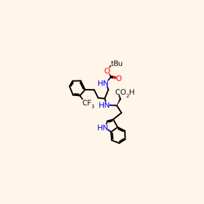 CC(C)(C)OC(=O)NCC(CCc1ccccc1C(F)(F)F)N[C@@H](CC(=O)O)Cc1c[nH]c2ccccc12